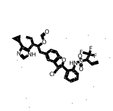 C=CC(C(F)(F)F)S(=O)(=O)Nc1ccccc1-c1oc2ccc(CC(OC=O)C(CC)c3[nH]cnc3C3CC3)cc2c1Cl